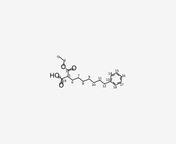 CCOC(=O)C(CCCCCCCc1ccccc1)C(=O)O